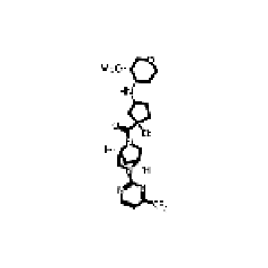 CC[C@]1(C(=O)N2C[C@@H]3C[C@H]2CN3c2nccc(C(F)(F)F)n2)CC[C@@H](N[C@H]2CCOC[C@H]2OC)C1